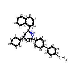 C=C(/N=C(\C=C(/C)c1ccccc1)c1cccc2ccccc12)c1ccc(-c2ccc(C)cc2)cc1